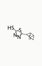 Sc1nnc(C2C3C4CS423)s1